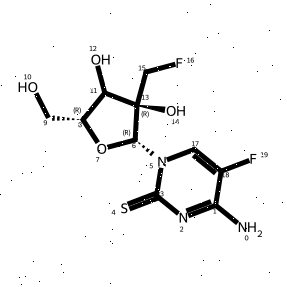 Nc1nc(=S)n([C@@H]2O[C@H](CO)C(O)[C@]2(O)CF)cc1F